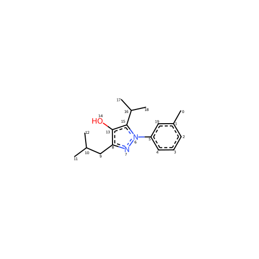 Cc1cccc(-n2nc(CC(C)C)c(O)c2C(C)C)c1